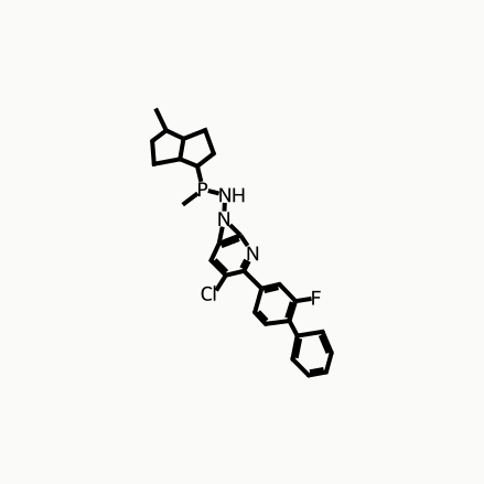 CC1CCC2C1CCC2P(C)NN1c2cc(Cl)c(-c3ccc(-c4ccccc4)c(F)c3)nc21